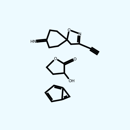 C#CC1=NOC2(CCC(=N)CC2)C1.O=C1OCCC1O.c1cc2cc-2c1